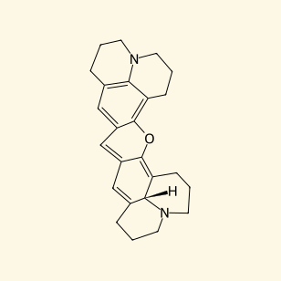 C1=C2C=C3CCCN4CCCC(=C2Oc2c1cc1c5c2CCCN5CCC1)[C@@H]34